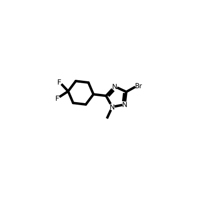 Cn1nc(Br)nc1C1CCC(F)(F)CC1